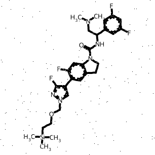 CN(C)CC(NC(=O)N1CCc2cc(-c3cn(COCC[Si](C)(C)C)nc3F)c(F)cc21)c1cc(F)cc(F)c1